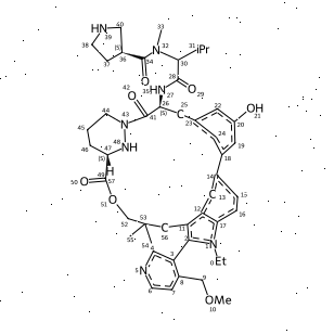 CCn1c(-c2cnccc2COC)c2c3cc(ccc31)-c1cc(O)cc(c1)C[C@H](NC(=O)C(C(C)C)N(C)C(=O)[C@H]1CCNC1)C(=O)N1CCC[C@H](N1)C(=O)OCC(C)(C)C2